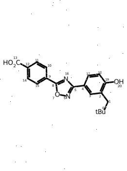 CC(C)(C)Cc1cc(-c2noc(-c3ccc(C(=O)O)cc3)n2)ccc1O